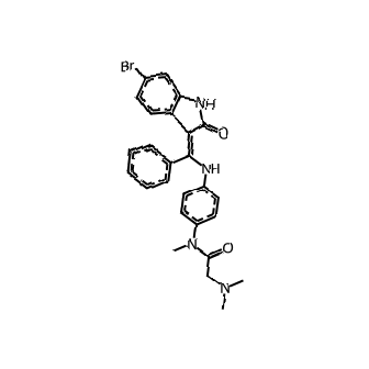 CN(C)CC(=O)N(C)c1ccc(N/C(=C2\C(=O)Nc3cc(Br)ccc32)c2ccccc2)cc1